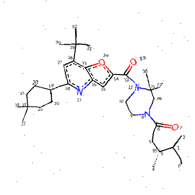 CC(C)[C@H](C)CC(=O)N1CCN(C(=O)c2cc3nc(C4CCC(C)(C)CC4)cc(C(C)(C)C)c3o2)C(C)(C)C1